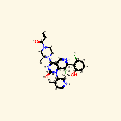 C=CC(=O)N1CCN(c2nc(=O)n(-c3c(C)ccnc3C(C)C)c3c(F)c(-c4c(O)cccc4F)ncc23)[C@@H](C)C1